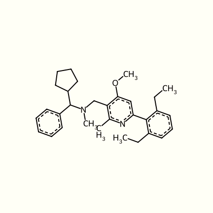 CCc1cccc(CC)c1-c1cc(OC)c(CN(C)C(c2ccccc2)C2CCCC2)c(C)n1